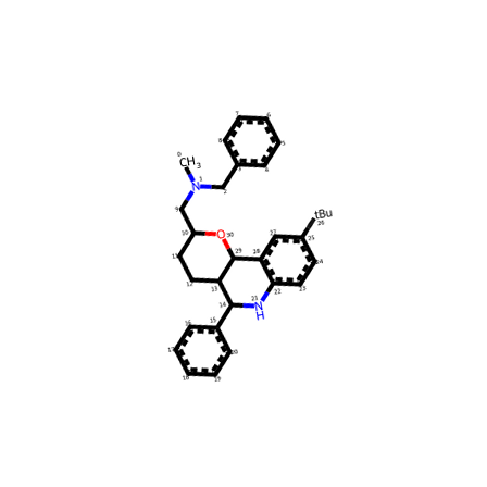 CN(Cc1ccccc1)CC1CCC2C(c3ccccc3)Nc3ccc(C(C)(C)C)cc3C2O1